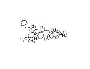 CC1(C)C[C@@H]2C3=CC[C@@H]4[C@@]5(C)CCC6OC(C)(C)OCC6(C)C5CC[C@@]4(C)[C@]3(C)CC[C@@]2(C)[C@H](OCc2ccccc2)C1